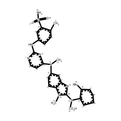 Cc1ccc(Nc2nccc(N(C)c3ccc4c(c3)nc(N(C(=O)O)c3ccccc3C(C)(C)C)n4C)n2)cc1S(N)(=O)=O